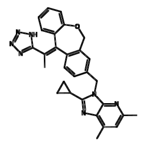 C/C(=C1\c2ccc(Cn3c(C4CC4)nc4c(C)cc(C)nc43)cc2COc2ccccc21)c1nnn[nH]1